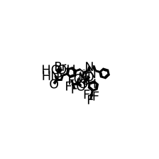 O=C1CC(c2ccc(C[C@@H](c3ncc(-c4ccccc4)[nH]3)N(OC(=O)C(F)(F)F)S(=O)(=O)c3cccc(C(F)(F)F)c3)cc2Br)S(O)(O)N1